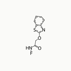 O=C(COc1nc2ccccc2s1)NF